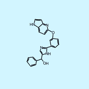 OC(c1ccccc1)c1cnc(-c2cccc(Oc3ccc4[nH]ccc4n3)c2)[nH]1